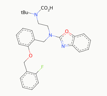 CC(C)(C)N(CCN(Cc1ccccc1OCc1ccccc1F)c1nc2ccccc2o1)C(=O)O